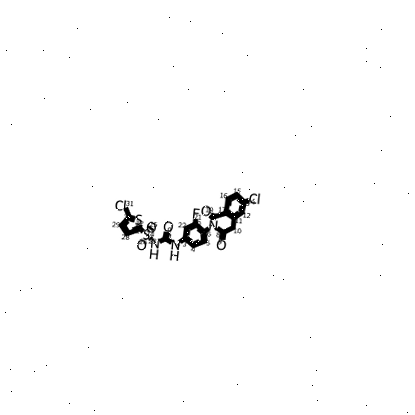 O=C(Nc1ccc(N2C(=O)Cc3cc(Cl)ccc3C2=O)c(F)c1)NS(=O)(=O)c1ccc(Cl)s1